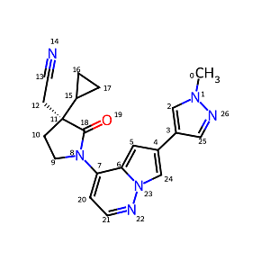 Cn1cc(-c2cc3c(N4CC[C@@](CC#N)(C5CC5)C4=O)ccnn3c2)cn1